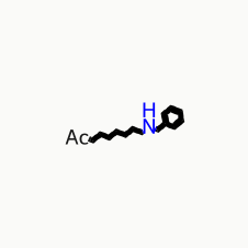 CC(=O)CCCCCCCNCc1ccccc1